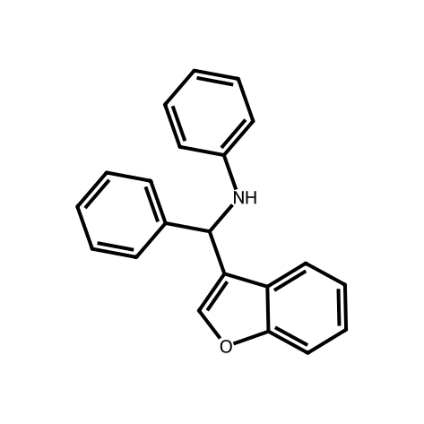 c1ccc(NC(c2ccccc2)c2coc3ccccc23)cc1